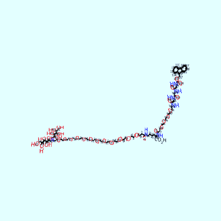 O=C(CCOCCOCCOCCOCCOCCOCCOCCOCCOCCOCCOCCOCCN(C[C@H](O)[C@@H](O)[C@H](O)[C@H](O)CO)C[C@H](O)[C@@H](O)[C@H](O)[C@H](O)CO)NCCCC[C@H](NC(=O)CCOCCOCCOCCOCCNC(=O)CNC(=O)CNC(=O)CNC(=O)OCC1c2ccccc2-c2ccccc21)C(=O)O